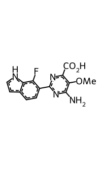 COc1c(N)nc(-c2ccc3cc[nH]c3c2F)nc1C(=O)O